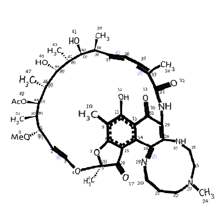 CO[C@H]1/C=C/O[C@@]2(C)Oc3c(C)c(O)c4c(c3C2=O)/C2=N/CCCN(C)CCNC2=C(NC(=O)/C(C)=C\C=C\[C@H](C)[C@H](O)[C@@H](C)[C@@H](O)[C@@H](C)[C@H](OC(C)=O)[C@@H]1C)C4=O